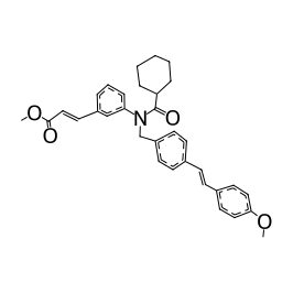 COC(=O)/C=C/c1cccc(N(Cc2ccc(/C=C/c3ccc(OC)cc3)cc2)C(=O)C2CCCCC2)c1